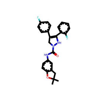 CC1(C)Cc2cc(NC(=O)N3CC(c4ccc(F)cc4)=C(c4ccccc4F)N3)ccc2O1